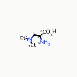 CCN(CC)C[C@H](N)C(=O)O